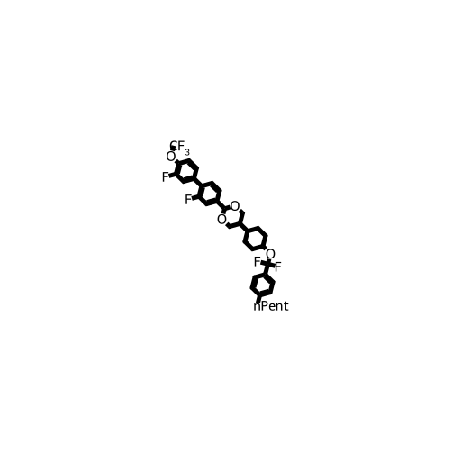 CCCCCc1ccc(C(F)(F)OC2CCC(C3COC(c4ccc(-c5ccc(OC(F)(F)F)c(F)c5)c(F)c4)OC3)CC2)cc1